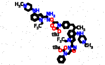 CC(Cc1ccc(N(CC(=O)O/N=C(\N)c2cc3c(NC4CCN(C)CC4)cccc3n2CC(F)(F)F)C(=O)OC(C)(C)C)cc1)c1ccc2c(cc(-c3noc(CN(C(=O)OC(C)(C)C)c4ccccc4)n3)n2CC(F)(F)F)c1NC1CCN(C)CC1